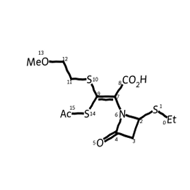 CCSC1CC(=O)N1C(C(=O)O)=C(SCCOC)SC(C)=O